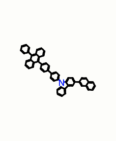 c1ccc(-c2c3ccccc3c(-c3ccc(-c4ccc(-n5c6ccccc6c6cc(-c7ccc8ccccc8c7)ccc65)cc4)cc3)c3ccccc23)cc1